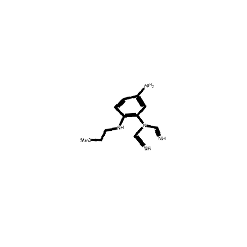 COCCNc1ccc(N)cc1N(C=N)C=N